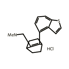 CNCC1=C(c2cccc3sccc23)C2CCC1CC2.Cl